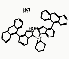 CC1=Cc2c(-c3c4ccccc4cc4ccccc34)cccc2[CH]1[Hf]1([CH]2C(C)=Cc3c(-c4c5ccccc5cc5ccccc45)cccc32)[CH]2CCCC[CH]21.Cl.Cl